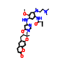 C=CC(=O)Nc1cc(Nc2cc(O[C@H]3Cc4cc5ccc(=O)oc5cc4OC3(C)C)ncn2)c(OC)cc1N(C)CCN(C)C